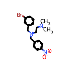 CN(C)CCN(Cc1ccc([N+](=O)[O-])cc1)Cc1cccc(Br)c1